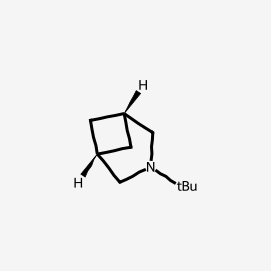 CC(C)(C)N1C[C@H]2C[C@@H](C1)C2